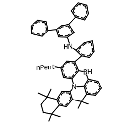 CCCCCc1cc(-c2ccccc2Nc2cc(-c3ccccc3)cc(-c3ccccc3)c2)c2c(c1)N1c3cc4c(cc3C(C)(C)c3cccc(c31)B2)C(C)(C)CCC4(C)C